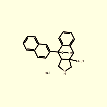 Cl.O=C(O)C12CNCC1C1(c3ccc4ccccc4c3)CCC2c2ccccc21